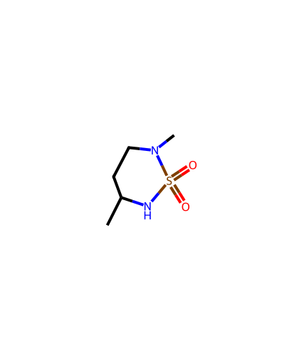 CC1CCN(C)S(=O)(=O)N1